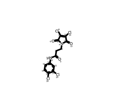 O=C(CCN1C(=O)C(Cl)=C(Cl)C1=O)Nc1ccc(Cl)c(Cl)c1